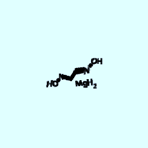 ON=CC=NO.[MgH2]